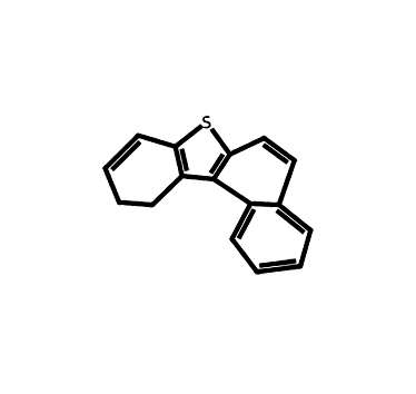 C1=Cc2sc3ccc4ccccc4c3c2CC1